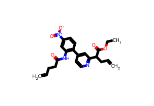 C=CCCC(=O)Nc1cc([N+](=O)[O-])ccc1-c1ccnc(C(CC=C)C(=O)OCC)c1